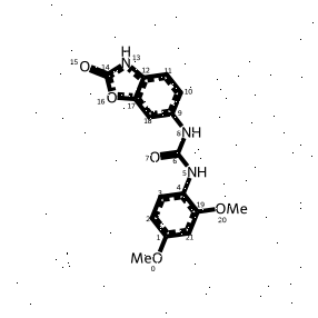 COc1ccc(NC(=O)Nc2ccc3[nH]c(=O)oc3c2)c(OC)c1